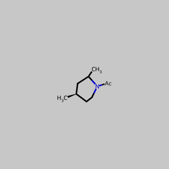 CC(=O)N1CC[C@@H](C)CC1C